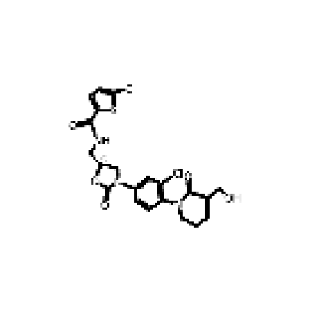 O=C(NC[C@H]1CN(c2ccc(N3CCCC(CO)C3=O)c(Cl)c2)C(=O)O1)c1ccc(Cl)s1